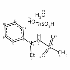 CCN(NS(C)(=O)=O)c1ccccc1.O.O=S(=O)(O)O